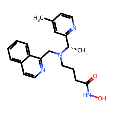 Cc1ccnc([C@H](C)N(CCCC(=O)NO)Cc2nccc3ccccc23)c1